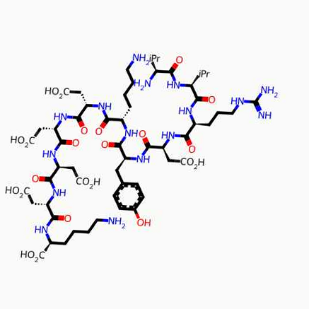 CC(C)[C@H](N)C(=O)N[C@H](C(=O)N[C@@H](CCCNC(=N)N)C(=O)N[C@@H](CC(=O)O)C(=O)N[C@@H](Cc1ccc(O)cc1)C(=O)N[C@@H](CCCCN)C(=O)N[C@@H](CC(=O)O)C(=O)N[C@@H](CC(=O)O)C(=O)N[C@@H](CC(=O)O)C(=O)N[C@@H](CC(=O)O)C(=O)N[C@@H](CCCCN)C(=O)O)C(C)C